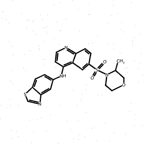 CC1COCCN1S(=O)(=O)c1ccc2nccc(Nc3ccc4scnc4c3)c2c1